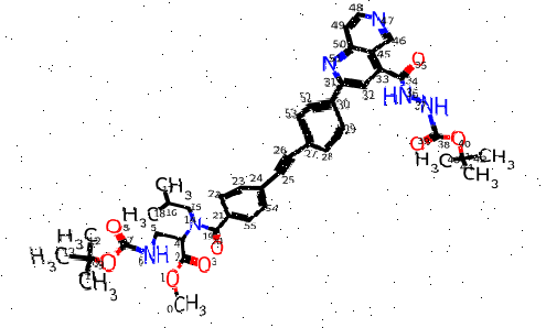 COC(=O)C(CNC(=O)OC(C)(C)C)N(CC(C)C)C(=O)c1ccc(C#Cc2ccc(-c3cc(C(=O)NNC(=O)OC(C)(C)C)c4cnccc4n3)cc2)cc1